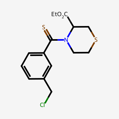 CCOC(=O)C1CSCCN1C(=S)c1cccc(CCl)c1